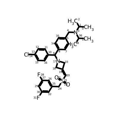 CC(C)N(Cc1ccc(C(c2ccc(Cl)cc2)N2CC(=CS(=O)(=O)Cc3cc(F)cc(F)c3)C2)cc1)C(C)C